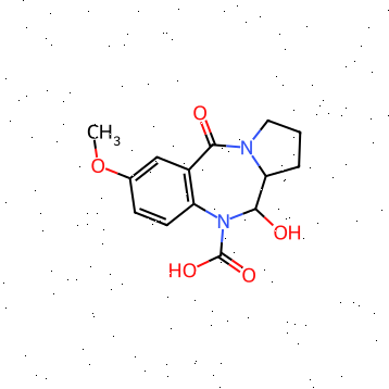 COc1ccc2c(c1)C(=O)N1CCCC1C(O)N2C(=O)O